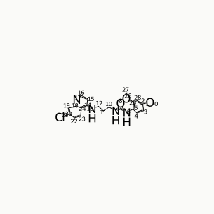 COc1ccc(NC(=O)NCCCNc2ccnc3cc(Cl)ccc23)c(OC)c1